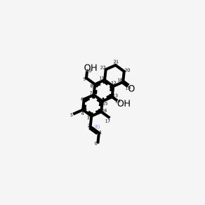 C/C=C/c1c(C)cc2c(CO)c3c(c(O)c2c1C)C(=O)CCC3